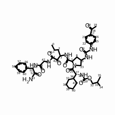 CCCC(NC(=O)C1CC(NC(=O)Nc2ccc(C(C)=O)cc2)CN1C(=O)[C@H](NC(=O)OCC(C)C)C1CCCCC1)C(=O)C(=O)NCC(=O)N[C@@H](C(N)=O)c1ccccc1